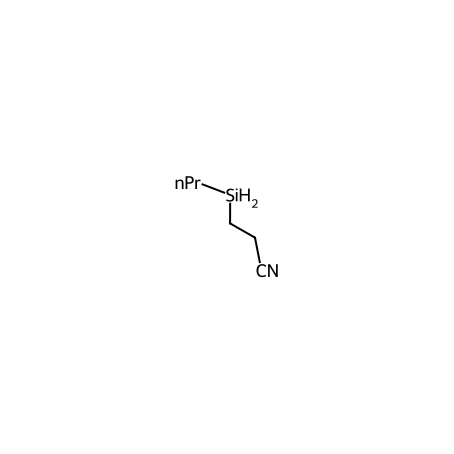 CCC[SiH2]CCC#N